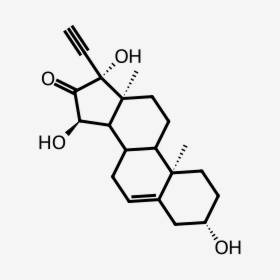 C#C[C@]1(O)C(=O)[C@H](O)C2C3CC=C4C[C@@H](O)CC[C@]4(C)C3CC[C@@]21C